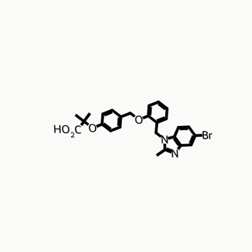 Cc1nc2cc(Br)ccc2n1Cc1ccccc1OCc1ccc(OC(C)(C)C(=O)O)cc1